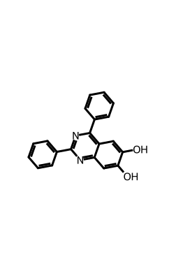 Oc1cc2nc(-c3ccccc3)nc(-c3ccccc3)c2cc1O